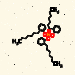 CCCCCCCc1ccccc1OP(=O)(Oc1ccccc1CCCCCCC)Oc1ccccc1CCCCCCC